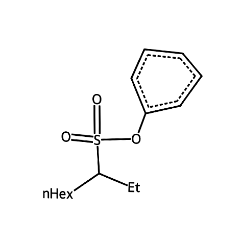 CCCCCCC(CC)S(=O)(=O)Oc1ccccc1